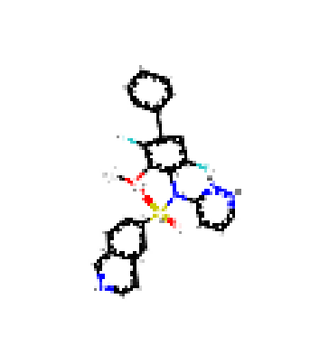 COc1c(F)c(-c2ccccc2)cc(F)c1N(c1cccnn1)S(=O)(=O)c1ccc2cnccc2c1